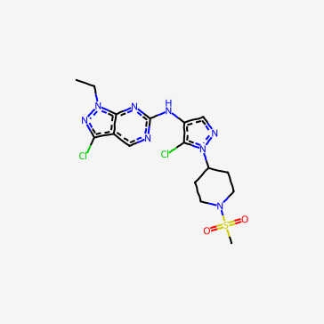 CCn1nc(Cl)c2cnc(Nc3cnn(C4CCN(S(C)(=O)=O)CC4)c3Cl)nc21